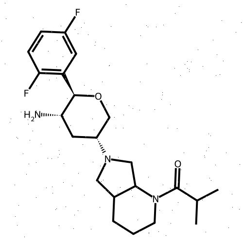 CC(C)C(=O)N1CCCC2CN([C@H]3CO[C@H](c4cc(F)ccc4F)[C@@H](N)C3)CC21